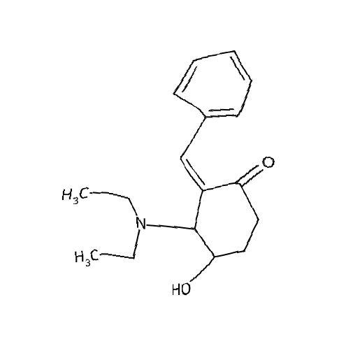 CCN(CC)C1C(=Cc2ccccc2)C(=O)CCC1O